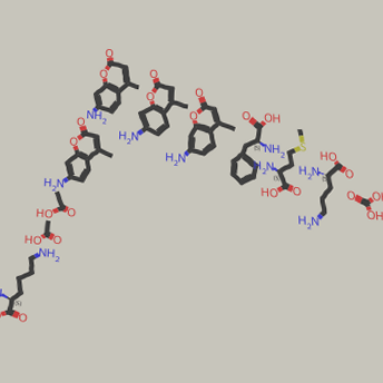 CC(=O)O.CC(=O)O.CSCC[C@H](N)C(=O)O.Cc1cc(=O)oc2cc(N)ccc12.Cc1cc(=O)oc2cc(N)ccc12.Cc1cc(=O)oc2cc(N)ccc12.Cc1cc(=O)oc2cc(N)ccc12.NCCCC[C@H](N)C(=O)O.NCCC[C@H](N)C(=O)O.N[C@@H](Cc1ccccc1)C(=O)O.O=C(O)O